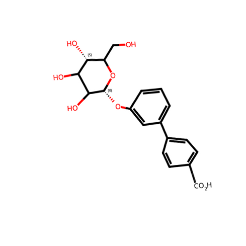 O=C(O)c1ccc(-c2cccc(O[C@H]3OC(CO)[C@@H](O)C(O)C3O)c2)cc1